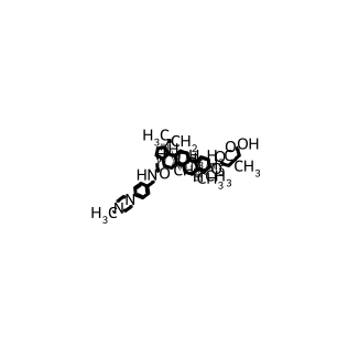 C=C(C)[C@@H]1CC[C@]2(CC(=O)NCc3ccc(N4CCN(C)CC4)cc3)CC[C@]3(C)[C@H](CC[C@@H]4[C@@]5(C)CC[C@H](OC(=O)CC(C)(C)CC(=O)O)C(C)(C)[C@@H]5CC[C@]43C)[C@@H]12